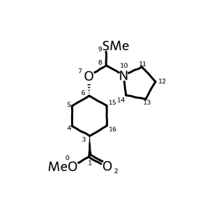 COC(=O)[C@H]1CC[C@H](OC(SC)N2CCCC2)CC1